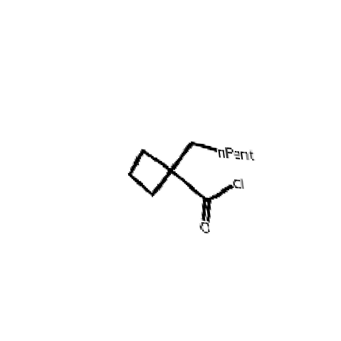 CCCCCCC1(C(=O)Cl)CCC1